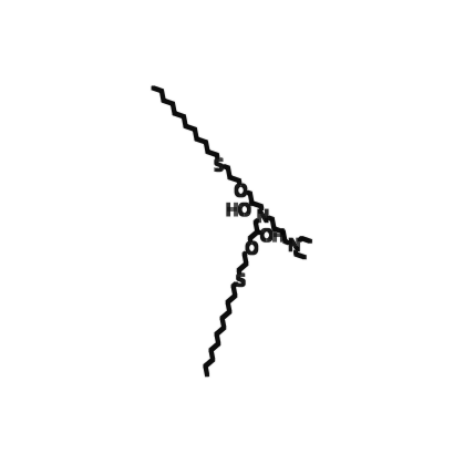 CCCCCCCCCCCCSCCCOCC(O)CN(CCCCN(CC)CC)CC(O)COCCCSCCCCCCCCCCCC